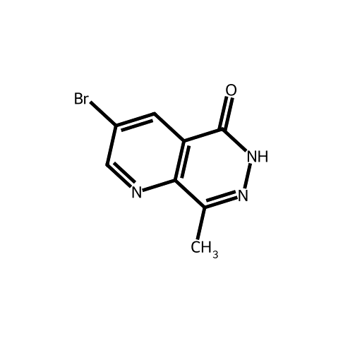 Cc1n[nH]c(=O)c2cc(Br)cnc12